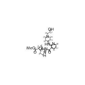 COC(=O)c1csc2c1CCNC2NC(=O)c1cccnc1NC1CCN(CCO)CC1